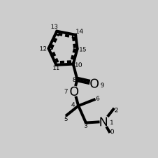 CN(C)CC(C)(C)OC(=O)c1ccccc1